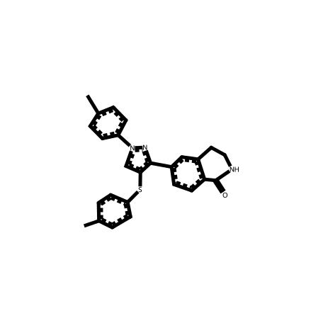 Cc1ccc(Sc2cn(-c3ccc(C)cc3)nc2-c2ccc3c(c2)CCNC3=O)cc1